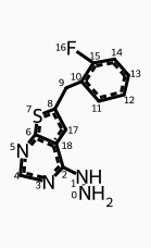 NNc1ncnc2sc(Cc3ccccc3F)cc12